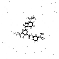 CN1CCc2c(NCc3cccc(B(O)O)c3)nc(-c3nnc4c(C(N)=O)cccn34)nc21